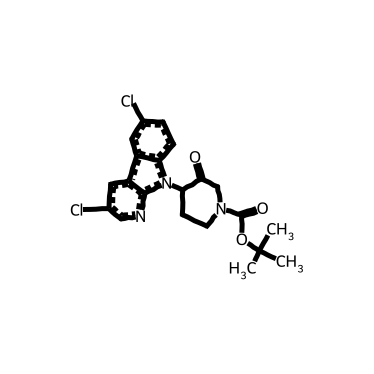 CC(C)(C)OC(=O)N1CCC(n2c3ccc(Cl)cc3c3cc(Cl)cnc32)C(=O)C1